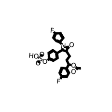 CC(=O)OC(CCC1C(=O)N(c2ccc(F)cc2)C1c1ccc(OS(=O)(=O)O)cc1)c1ccc(F)cc1